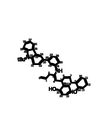 C=CC/C(=C/C(/C=C\Cc1ccccc1O)c1ccccc1O)Nc1cccc(-c2ccc3c(c2)c2ccccc2n3C(C)(C)C)c1